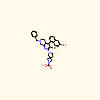 Cc1c(N2CCC3(CN(C(=O)O)C3)C2)nc2c(c1-c1cccc3cc(O)ccc13)CCN(Cc1ccccc1)C2